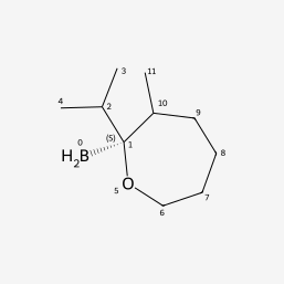 B[C@@]1(C(C)C)OCCCCC1C